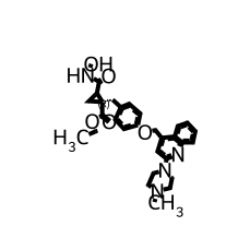 CCOC(=O)[C@@]1(Cc2ccc(OCc3cc(N4CCN(C)CC4)nc4ccccc34)cc2)CC1C(=O)NO